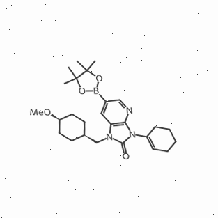 CO[C@H]1CC[C@@H](Cn2c(=O)n(C3=CCCCC3)c3ncc(B4OC(C)(C)C(C)(C)O4)cc32)CC1